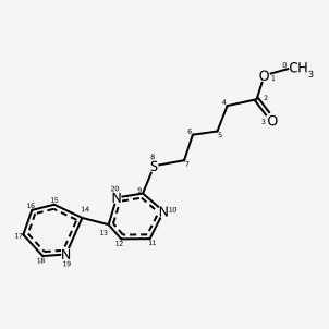 COC(=O)CCCCSc1nccc(-c2ccccn2)n1